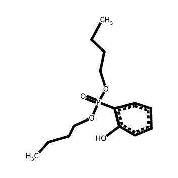 CCCCOP(=O)(OCCCC)c1ccccc1O